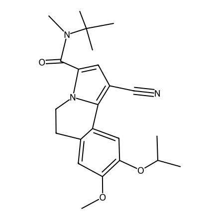 COc1cc2c(cc1OC(C)C)-c1c(C#N)cc(C(=O)N(C)C(C)(C)C)n1CC2